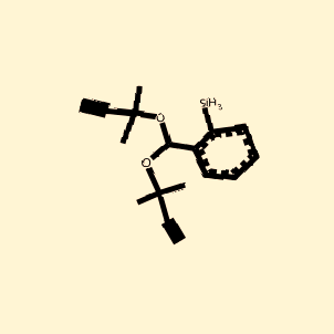 C#CC(C)(C)OC(OC(C)(C)C#C)c1ccccc1[SiH3]